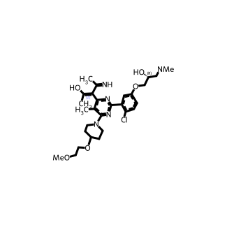 CNC[C@@H](O)COc1ccc(Cl)c(-c2nc(/C(C(C)=N)=C(\C)O)c(C)c(N3CCC(OCCOC)CC3)n2)c1